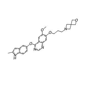 COc1cc2c(Oc3ccc4[nH]c(C)cc4c3)ncnc2cc1OCCCN1CC2(COC2)C1